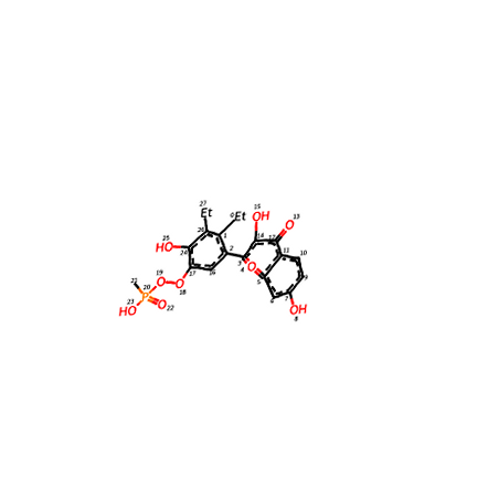 CCc1c(-c2oc3cc(O)ccc3c(=O)c2O)cc(OOP(C)(=O)O)c(O)c1CC